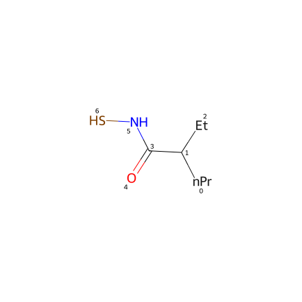 CCCC(CC)C(=O)NS